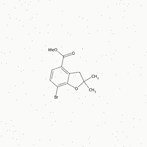 COC(=O)c1ccc(Br)c2c1CC(C)(C)O2